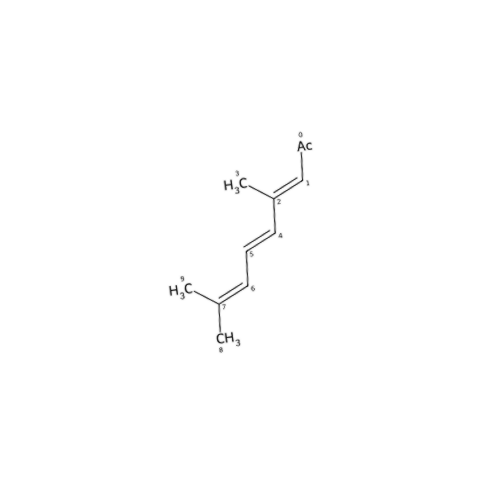 CC(=O)/C=C(C)/C=C/C=C(C)C